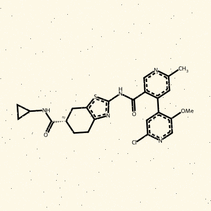 COc1cnc(Cl)cc1-c1cc(C)ncc1C(=O)Nc1nc2c(s1)C[C@@H](C(=O)NC1CC1)CC2